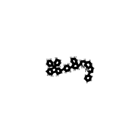 c1ccc(-c2ccc3ccc4ccc(-c5ccc(-c6ccc(-c7ccc8c(c7)C(c7ccccc7)(c7ccccc7)c7ccccc7-8)cc6)c6ccccc56)nc4c3n2)cc1